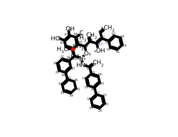 C=C/C(=C(/O)C(=C)C(ON(NC(=C)c1ccc(-c2ccccc2)cc1)C(c1cccc(C2=CC=CCC2)c1)C(C)C)c1c(C)cc(O)c(O)c1C)c1ccccc1